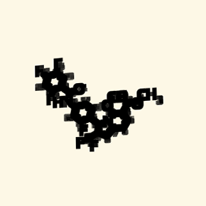 COC(=O)c1ccc2cc(C(F)(F)F)c(-c3ccc(NC(=O)c4cc(F)c(F)cc4F)cc3)n2c1OC